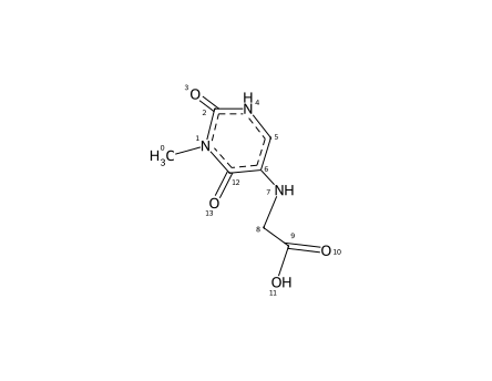 Cn1c(=O)[nH]cc(NCC(=O)O)c1=O